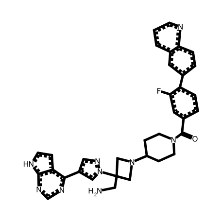 NCC1(n2cc(-c3ncnc4[nH]ccc34)cn2)CN(C2CCN(C(=O)c3ccc(-c4ccc5ncccc5c4)c(F)c3)CC2)C1